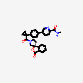 CNC(=O)c1ccc(-c2ccc(C3(C(=O)N4CC[C@@]5(C4)OC(=O)c4ccccc45)CC3)cc2)cn1